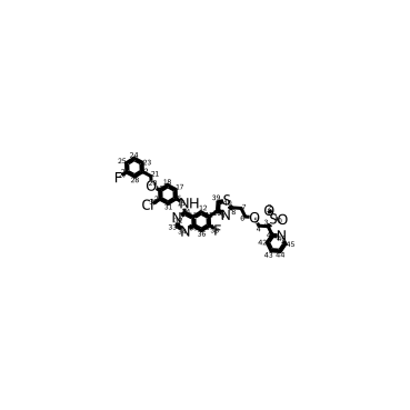 O=S(=O)=C(COCCc1nc(-c2cc3c(Nc4ccc(OCc5cccc(F)c5)c(Cl)c4)ncnc3cc2F)cs1)c1ccccn1